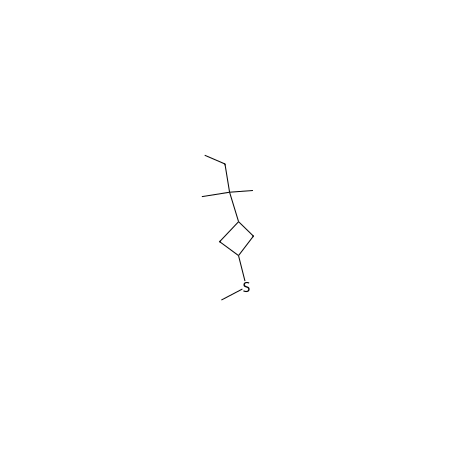 CCC(C)(C)C1CC(SC)C1